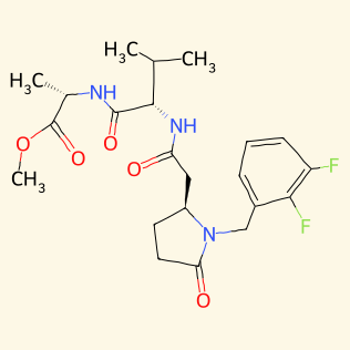 COC(=O)[C@H](C)NC(=O)[C@@H](NC(=O)C[C@@H]1CCC(=O)N1Cc1cccc(F)c1F)C(C)C